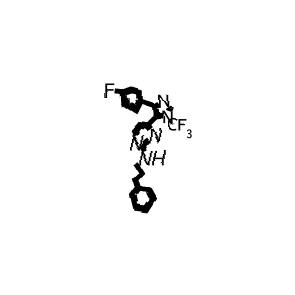 Fc1ccc(-c2ncn(C(F)(F)F)c2-c2ccnc(NCCCc3ccccc3)n2)cc1